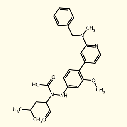 COc1cc(NN(C(=O)O)C(C=O)CC(C)C)ccc1-c1ccnc(N(C)Cc2ccccc2)c1